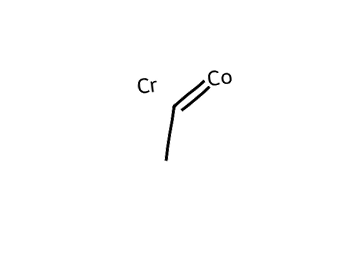 C[CH]=[Co].[Cr]